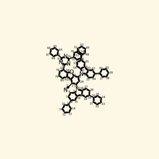 N#Cc1c(-n2c3ccc(-c4ccccc4)cc3c3cc(-c4ccccc4)ccc32)cc(-n2c3ccc(-c4ccccc4)cc3c3cc(-c4ccccc4)ccc32)c2oc3c(-c4nc(-c5ccccc5)nc(-c5ccccc5)n4)cccc3c12